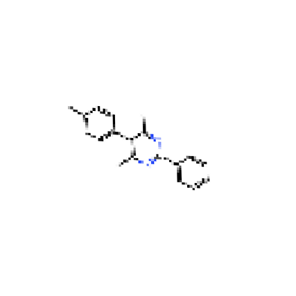 Cc1ccc(-c2c(C)nc(-c3ccccc3)nc2C)cc1